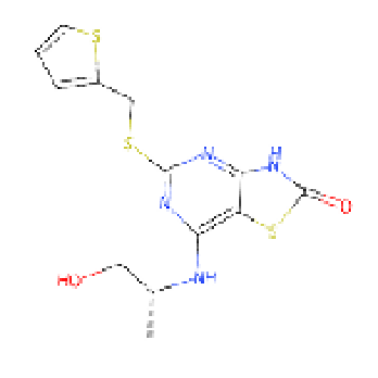 C[C@H](CO)Nc1nc(SCc2cccs2)nc2[nH]c(=O)sc12